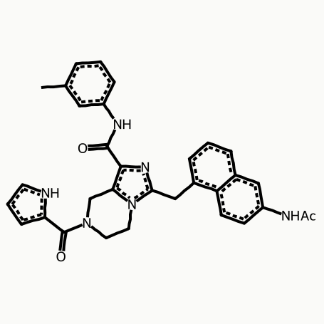 CC(=O)Nc1ccc2c(Cc3nc(C(=O)Nc4cccc(C)c4)c4n3CCN(C(=O)c3ccc[nH]3)C4)cccc2c1